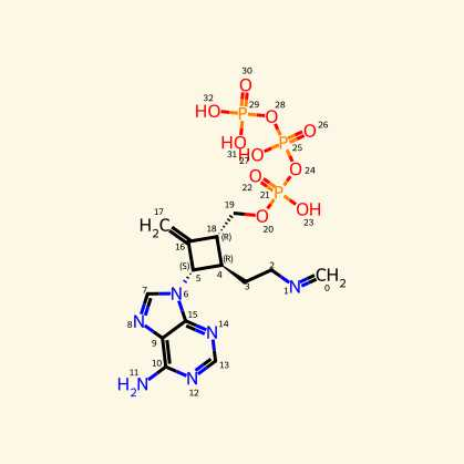 C=NCC[C@H]1[C@H](n2cnc3c(N)ncnc32)C(=C)[C@@H]1COP(=O)(O)OP(=O)(O)OP(=O)(O)O